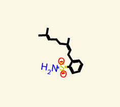 CC(C)=CCCC(C)=CCc1ccccc1S(N)(=O)=O